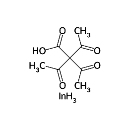 CC(=O)C(C(C)=O)(C(C)=O)C(=O)O.[InH3]